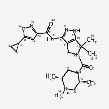 C[C@@H]1CN(C(=O)N2Cc3c(NC(=O)c4cc(C5CC5)on4)n[nH]c3C2(C)C)[C@@H](C)CN1C